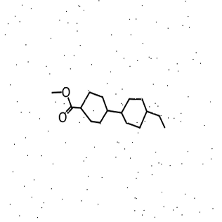 CCC1CCC(C2CCC(C(=O)OC)CC2)CC1